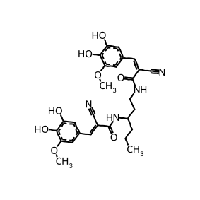 CCCC(CCNC(=O)C(C#N)=Cc1cc(O)c(O)c(OC)c1)NC(=O)C(C#N)=Cc1cc(O)c(O)c(OC)c1